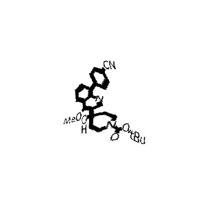 COc1c(C2(O)CCN(C(=O)OC(C)(C)C)CC2)cnc2c(-c3ccc(C#N)cc3)cccc12